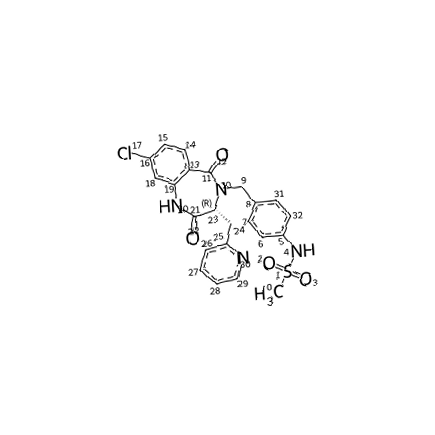 CS(=O)(=O)Nc1ccc(CN2C(=O)c3ccc(Cl)cc3NC(=O)[C@H]2Cc2ccccn2)cc1